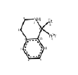 CCCC1(CC)NCCc2ccccc21